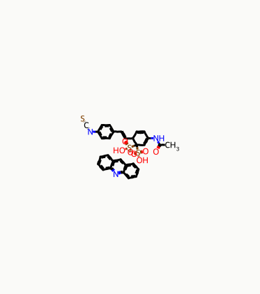 CC(=O)NC1=CC(S(=O)(=O)O)(S(=O)(=O)O)C(C=Cc2ccc(N=C=S)cc2)C=C1.c1ccc2nc3ccccc3cc2c1